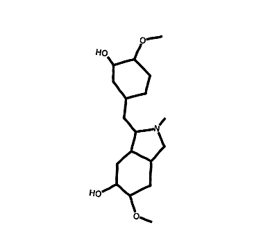 COC1CCC(CC2C3CC(O)C(OC)CC3CN2C)CC1O